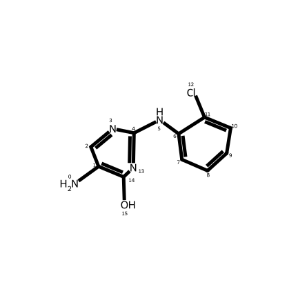 Nc1cnc(Nc2ccccc2Cl)nc1O